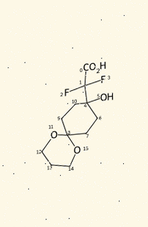 O=C(O)C(F)(F)C1(O)CCC2(CC1)OCCCO2